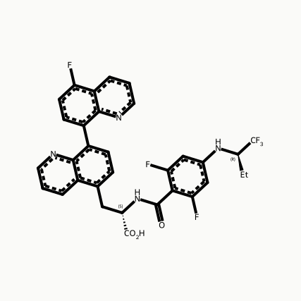 CC[C@@H](Nc1cc(F)c(C(=O)N[C@@H](Cc2ccc(-c3ccc(F)c4cccnc34)c3ncccc23)C(=O)O)c(F)c1)C(F)(F)F